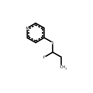 CC[C](F)Sc1ccncc1